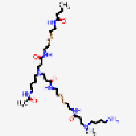 CCCC(=O)NCCSSCCNC(=O)CCN(CCCCNC(C)=O)CCC(=O)NCCSSCCNC(=O)CCN(C)CCCCN